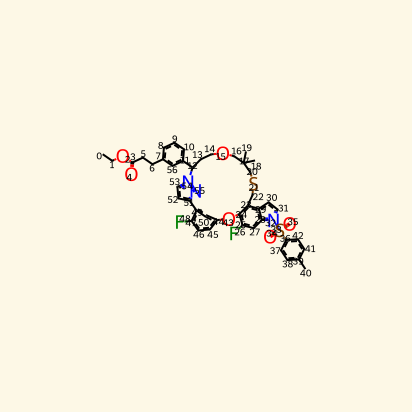 CCOC(=O)CCc1cccc(C2CCOCC(C)(C)CSCc3c(c(F)cc4c3ccn4S(=O)(=O)c3ccc(C)cc3)Oc3ccc(F)c(c3)-c3ccn2n3)c1